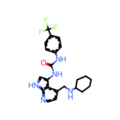 O=C(Nc1ccc(C(F)(F)F)cc1)Nc1c[nH]c2nccc(CNC3CCCCC3)c12